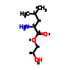 CC(C)C[C@H](N)C(=O)OCCO